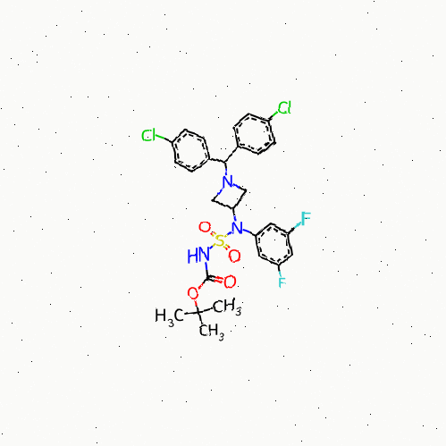 CC(C)(C)OC(=O)NS(=O)(=O)N(c1cc(F)cc(F)c1)C1CN(C(c2ccc(Cl)cc2)c2ccc(Cl)cc2)C1